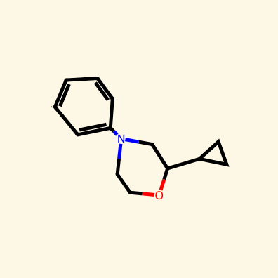 [c]1cccc(N2CCOC(C3CC3)C2)c1